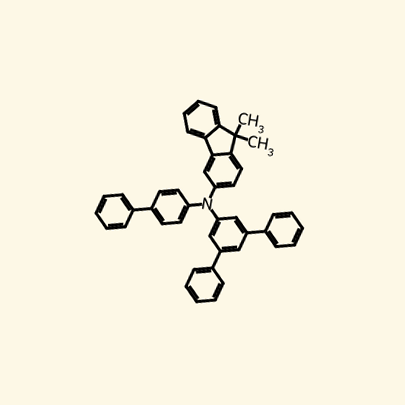 CC1(C)c2ccccc2-c2cc(N(c3ccc(-c4ccccc4)cc3)c3cc(-c4ccccc4)cc(-c4ccccc4)c3)ccc21